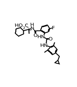 Cc1cc(CC2CC2)cc(C)c1NC(=O)Nc1cc(F)ccc1C(=O)N[C@](C)(C(=O)O)C1CCCCC1